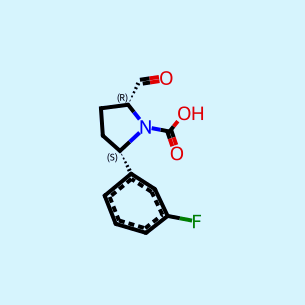 O=C[C@H]1CC[C@@H](c2cccc(F)c2)N1C(=O)O